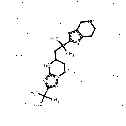 CC(C)(C)c1nc2n(n1)CCC(CC(C)(C)c1cc3c(s1)CCNC3)N2